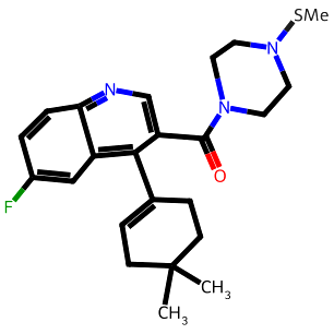 CSN1CCN(C(=O)c2cnc3ccc(F)cc3c2C2=CCC(C)(C)CC2)CC1